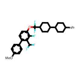 CCCC1CCC(C2CCC(C(F)(F)Oc3ccc(-c4ccc(OC)cc4)c(C(F)F)c3F)CC2)CC1